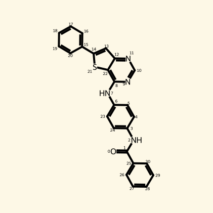 O=C(Nc1ccc(Nc2ncnc3cc(-c4ccccc4)sc23)cc1)c1ccccc1